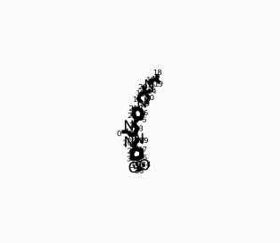 Cc1nc(-c2ccc(N3CCC4(CC3)CN(CC(C)C)C4)cc2)cc2c1nc(-c1ccc(S(C)(=O)=O)cc1)n2C